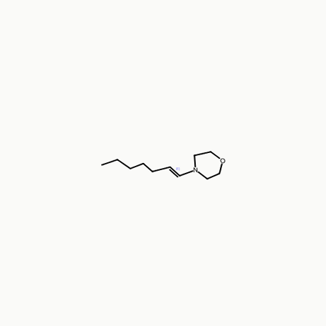 CCCCC/C=C/N1CCOCC1